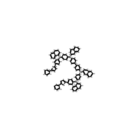 c1ccc(-c2ccc(-c3ccc(N(c4ccc(N(c5ccc(-c6ccc(N(c7ccc(N(c8ccc(-c9ccc(-c%10ccccc%10)s9)cc8)c8cccc9ccccc89)cc7)c7ccc8ccccc8c7)cc6)cc5)c5ccc6ccccc6c5)cc4)c4cccc5ccccc45)cc3)s2)cc1